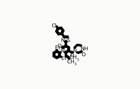 CCc1cccc(CC)c1-n1c(C=C(C)C)c(C(=O)N2CCCNC(=O)C2)cc(-c2nc(-c3ccc(Cl)cc3)cs2)c1=O